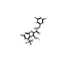 Cc1cc(C)cc(CNC(=O)c2sc3nc(C)cc(C(F)(F)F)c3c2N)c1